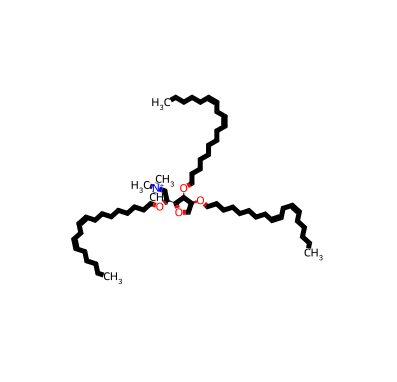 CCCCC/C=C\C/C=C\CCCCCCCCOC(C[N+](C)(C)C)[C@H]1OC[C@H](OCCCCCCCC/C=C\C/C=C\CCCCC)[C@H]1OCCCCCCCC/C=C\C/C=C\CCCCC